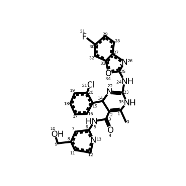 CC1=C(C(=O)Nc2cc(CO)ccn2)C(c2ccccc2Cl)N=C(Nc2nc3ccc(F)cc3o2)N1